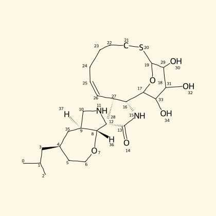 CC(C)C[C@@H]1CCO[C@@H]2[C@H](CN[C@@H]2C(=O)N[C@H]2C3OC(SCCCC/C=C\[C@H]2C)C(O)C(O)C3O)C1